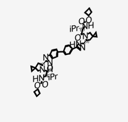 CC(C)[C@H](NC(=O)OC1CCC1)C(=O)N1CC2(CC2)C[C@H]1c1ncc(-c2ccc(-c3ccc4nc([C@@H]5CC6(CC6)CN5C(=O)[C@@H](NC(=O)OC5CCC5)C(C)C)[nH]c4c3)cc2)[nH]1